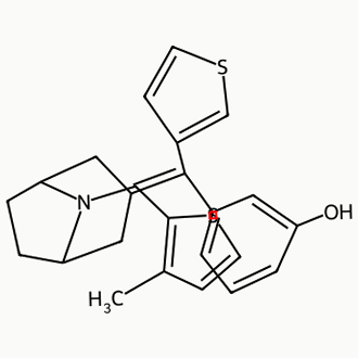 Cc1ccsc1CN1C2CCC1CC(=C(c1ccsc1)c1cccc(O)c1)C2